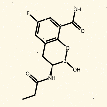 CCC(=O)N[C@H]1Cc2cc(F)cc(C(=O)O)c2OB1O